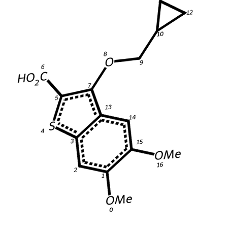 COc1cc2sc(C(=O)O)c(OCC3CC3)c2cc1OC